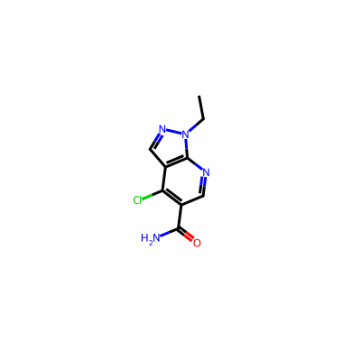 CCn1ncc2c(Cl)c(C(N)=O)cnc21